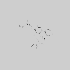 C=CC(=O)N1CCN(c2cnccc2-c2ccc(CNC(=O)OC(C)(C)C)c(C)c2)CC1